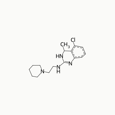 CC1NC(NCCN2CCCCC2)=Nc2cccc(Cl)c21